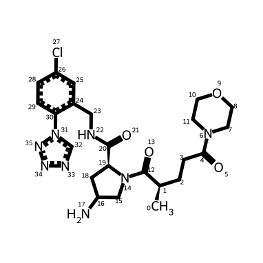 C[C@H](CCC(=O)N1CCOCC1)C(=O)N1CC(N)C[C@H]1C(=O)NCc1cc(Cl)ccc1-n1cnnn1